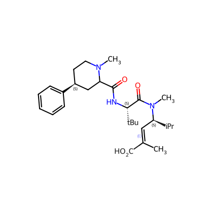 C/C(=C\[C@H](C(C)C)N(C)C(=O)[C@@H](NC(=O)C1C[C@@H](c2ccccc2)CCN1C)C(C)(C)C)C(=O)O